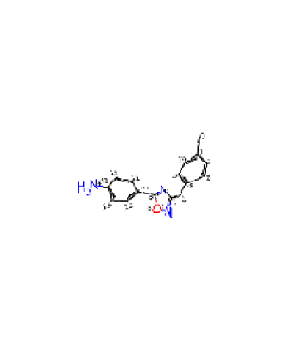 Cc1ccc(Cc2noc(-c3ccc(N)cc3)n2)cc1